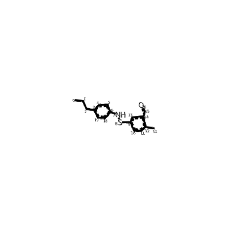 CCCc1ccc(NSc2ccc(C)c(C=O)c2)cc1